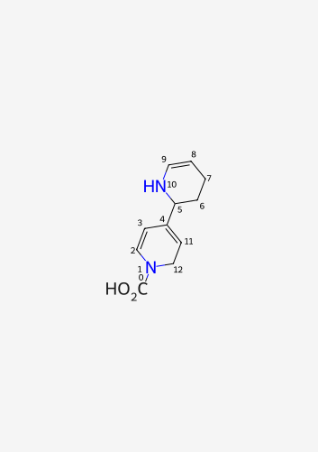 O=C(O)N1C=CC(C2CCC=CN2)=CC1